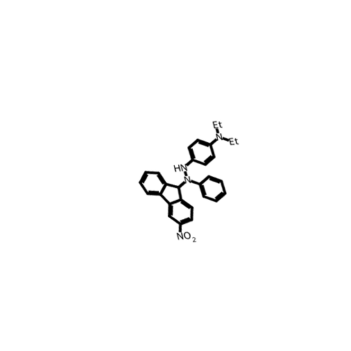 CCN(CC)c1ccc(NN(c2ccccc2)C2c3ccccc3-c3cc([N+](=O)[O-])ccc32)cc1